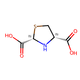 O=C(O)[C@H]1CS[C@@H](C(=O)O)N1